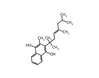 C/C(=C\CC(C)(C)c1c(C)c(O)c2ccccc2c1O)CC(C)C